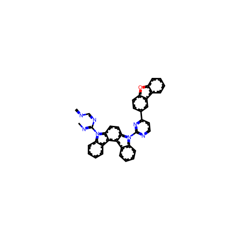 C=N/C=N\C(=N/C)n1c2ccccc2c2c3c4ccccc4n(-c4nccc(-c5ccc6oc7ccccc7c6c5)n4)c3ccc21